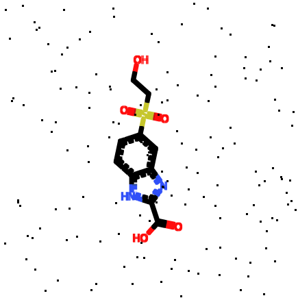 O=C(O)c1nc2cc(S(=O)(=O)CCO)ccc2[nH]1